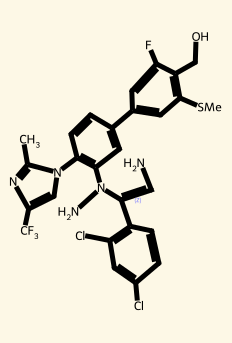 CSc1cc(-c2ccc(-n3cc(C(F)(F)F)nc3C)c(N(N)/C(=C\N)c3ccc(Cl)cc3Cl)c2)cc(F)c1CO